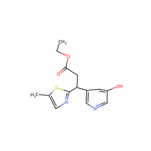 CCOC(=O)CC(c1cncc(O)c1)c1ncc(C)s1